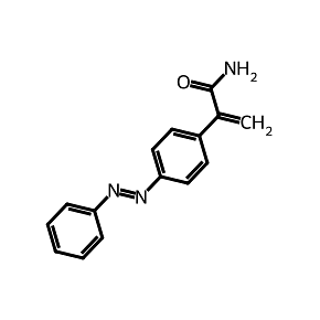 C=C(C(N)=O)c1ccc(N=Nc2ccccc2)cc1